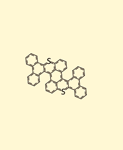 c1ccc2c(c1)c1ccccc1c1c2sc2cccc3c2c1c1cccc2sc4c5ccccc5c5ccccc5c4c3c21